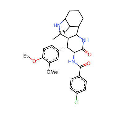 CCCC1C2CCCC1C1NC(=O)[C@@H](NC(=O)c3ccc(Cl)cc3)[C@H](c3ccc(OCC)c(OC)c3)C1C(C)N2